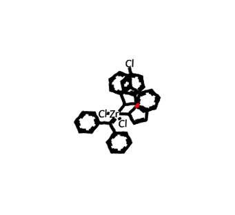 Clc1ccc(C2=CC=C[CH]2[Zr]([Cl])([Cl])(=[C](c2ccccc2)c2ccccc2)[CH]2c3ccccc3-c3ccccc32)cc1